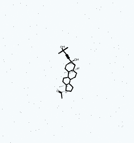 CC(=O)[C@H]1CCC2C3CC[C@@H]4C[C@@](O)(C#CC(C)(C)O)CC[C@]4(C)C3CC[C@@]21C